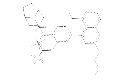 CCc1cccc2cc(OCOC)cc(-c3cc4nc(S(C)(=O)=O)nc(N5CC6CCC(C5)N6C(=O)OC(C)(C)C)c4cn3)c12